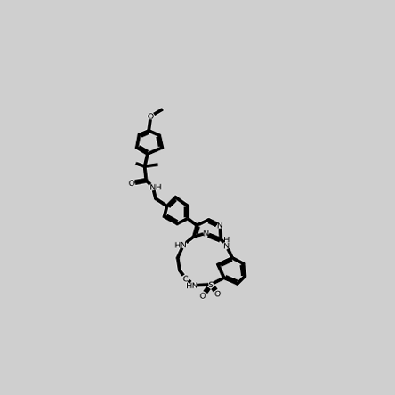 COc1ccc(C(C)(C)C(=O)NCc2ccc(-c3cnc4nc3NCCCNS(=O)(=O)c3cccc(c3)N4)cc2)cc1